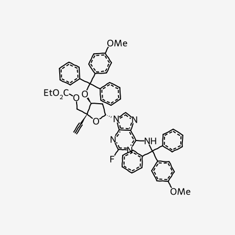 C#C[C@]1(COC(=O)OCC)O[C@@H](n2cnc3c(NC(c4ccccc4)(c4ccccc4)c4ccc(OC)cc4)nc(F)nc32)C[C@@H]1OC(c1ccccc1)(c1ccccc1)c1ccc(OC)cc1